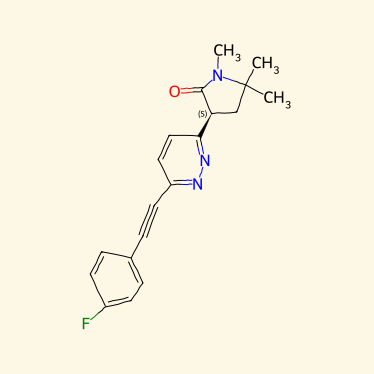 CN1C(=O)[C@H](c2ccc(C#Cc3ccc(F)cc3)nn2)CC1(C)C